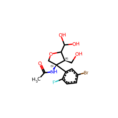 CC(=O)N[C@@]1(c2cc(Br)ccc2F)COC(C(O)O)[C@H]1CO